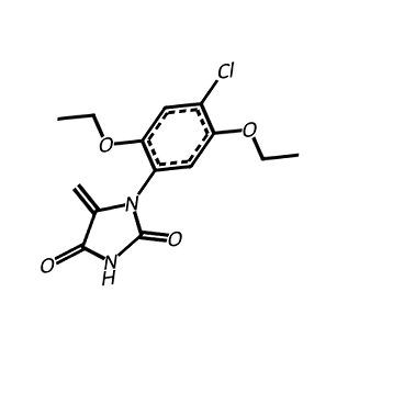 C=C1C(=O)NC(=O)N1c1cc(OCC)c(Cl)cc1OCC